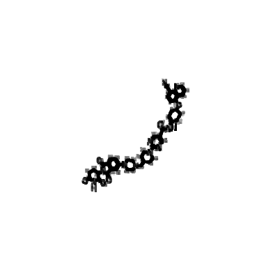 N#Cc1ccc(OC2CCC(NC(=O)c3cnc(N4CCC(CN5CCN(c6ccc7c(c6)C(=O)N(C6CCC(=O)NC6=O)C7=O)CC5)CC4)nc3)CC2)c2cccnc12